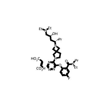 CCN(CC)C[C@H](O)C[C@H](C(C)C)N1CC2(CCN(c3ncnnc3Oc3ccc(F)cc3C(=O)N(CC)C(C)C)C2)C1.O=C(O)/C=C/C(=O)O